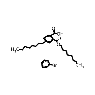 Brc1ccccc1.CCCCCCCCOC(=O)c1cc(CCCCCCCC)ccc1C(=O)O